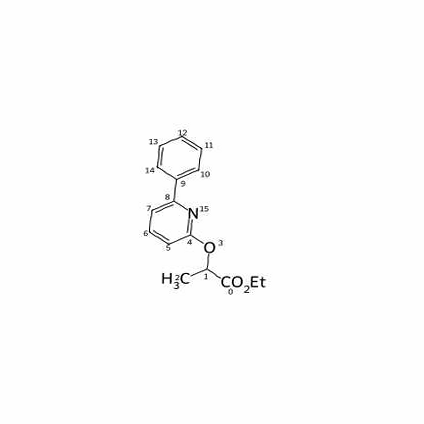 CCOC(=O)C(C)Oc1cccc(-c2ccccc2)n1